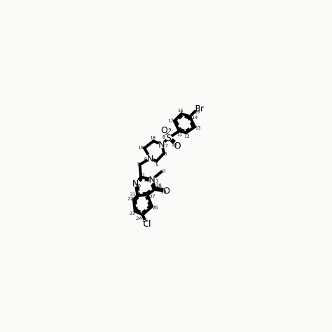 Cn1c(CN2CCN(S(=O)(=O)c3ccc(Br)cc3)CC2)nc2ccc(Cl)cc2c1=O